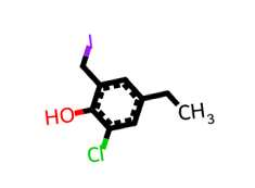 CCc1cc(Cl)c(O)c(CI)c1